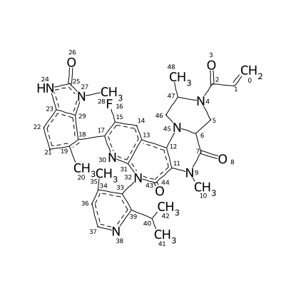 C=CC(=O)N1CC2C(=O)N(C)c3c(c4cc(F)c(-c5c(C)ccc6[nH]c(=O)n(C)c56)nc4n(-c4c(C)ccnc4C(C)C)c3=O)N2CC1C